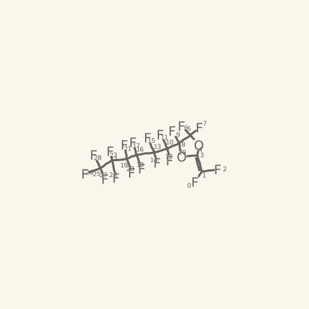 FC(F)=C1OC(F)(F)C(F)(C(F)(F)C(F)(F)C(F)(F)C(F)(F)C(F)(F)C(F)(F)F)O1